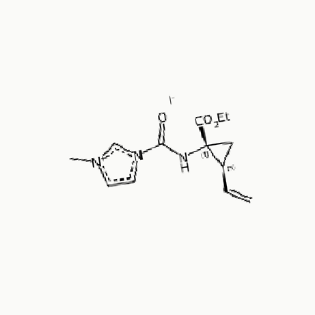 C=C[C@@H]1C[C@]1(NC(=O)n1cc[n+](C)c1)C(=O)OCC.[I-]